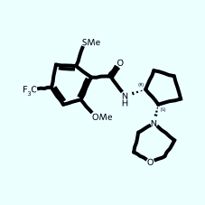 COc1cc(C(F)(F)F)cc(SC)c1C(=O)N[C@@H]1CCC[C@@H]1N1CCOCC1